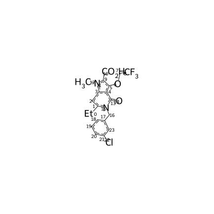 CCc1cc2c(c(OCC(F)(F)F)c(C(=O)O)n2C)c(=O)n1Cc1cccc(Cl)c1